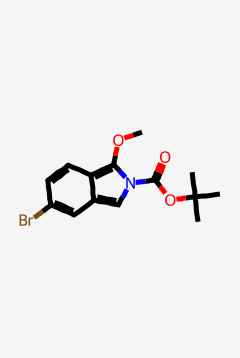 COc1c2ccc(Br)cc2cn1C(=O)OC(C)(C)C